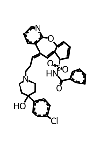 O=C(NS(=O)(=O)C1C=CC=C2Oc3ncccc3C(=CCCN3CCC(O)(c4ccc(Cl)cc4)CC3)C=C21)c1ccccc1